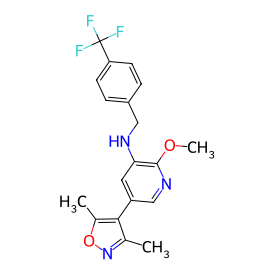 COc1ncc(-c2c(C)noc2C)cc1NCc1ccc(C(F)(F)F)cc1